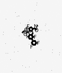 CCS(=O)(=O)N[C@@H]1[C@H](Cc2cccc(-c3cc(F)cc(F)c3)c2F)C(C(=O)N(C)C)CC1(F)F